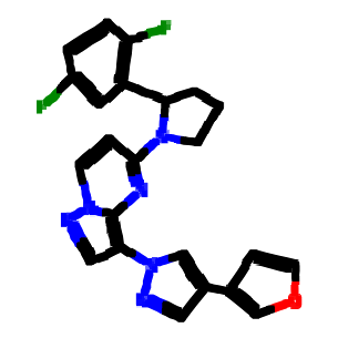 Fc1ccc(F)c(C2CCCN2c2ccn3ncc(-n4cc(-c5ccoc5)cn4)c3n2)c1